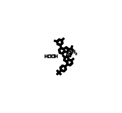 CC1=Cc2c(-c3ccc(C(C)(C)C)cc3)ccc(C)c2[CH]1[Zr]([CH3])([CH3])(=[SiH2])[CH]1C(C(C)C)=Cc2c(-c3cc(C)cc(C)c3)cccc21.Cl.Cl